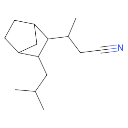 CC(C)CC1C2CCC(C2)C1C(C)CC#N